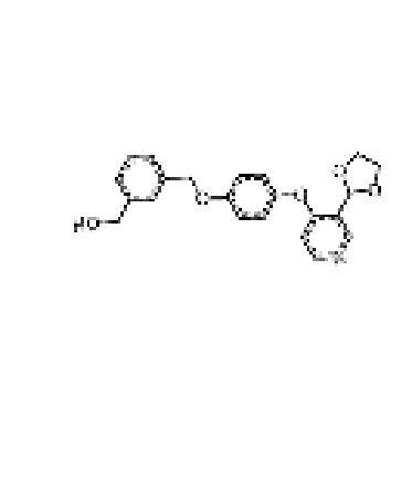 OCc1cccc(COc2ccc(Oc3ccncc3C3OCCO3)cc2)c1